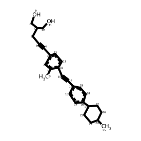 Cc1cc(C#CCC(CO)CO)ccc1C#Cc1ccc(C2CCC(C)CC2)cc1